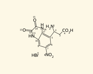 Br.NC(CC(=O)O)c1cc([N+](=O)[O-])cc2[nH]c(=O)c(=O)[nH]c12